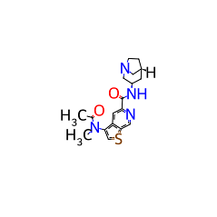 CC(=O)N(C)c1csc2cnc(C(=O)N[C@@H]3C[C@H]4CCN(C4)C3)cc12